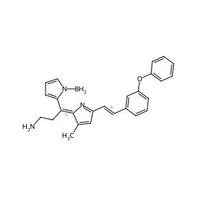 Bn1cccc1/C(CCN)=C1N=C(/C=C/c2cccc(Oc3ccccc3)c2)C=C\1C